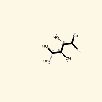 O=C[C@H](O)[C@H](O)[C@H](O)C(O)I